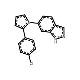 Clc1ccc(-c2c[c]cn2-c2ccc3cn[nH]c3c2)cc1